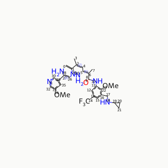 C=C(/C(C)=C\C=C(/C)C(=O)Nc1cc(C(F)(F)F)cc(CNC2CC2)c1OC)N(N)/C=C(\N)c1cncc(OC)c1